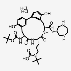 CC(C)(C)OC(=O)N[C@H]1Cc2cc(ccc2O)-c2ccc(O)c(c2)C[C@@H](C(=O)NC2CNCCNC2)NC(=O)[C@H](CCCN(C(=O)O)C(C)(C)C)NC1=O.Cl.Cl